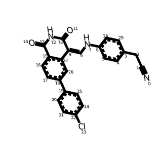 N#CCc1ccc(NC=C2C(=O)NC(=O)c3ccc(-c4ccc(Cl)cc4)cc32)cc1